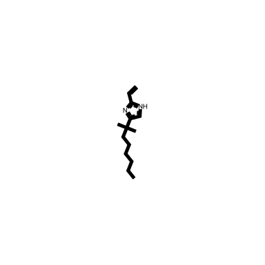 C=Cc1nc(C(C)(C)CCCCCC)c[nH]1